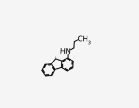 CCCNc1cccc2c1[CH]c1ccccc1-2